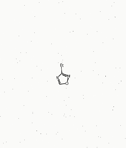 [CH2]Cc1ncon1